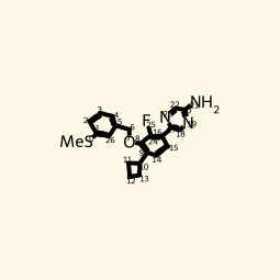 CSc1cccc(COc2c(C3CCC3)ccc(-c3cnc(N)cn3)c2F)c1